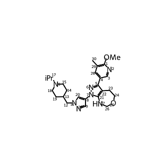 COc1ncc(-c2nn(-c3cnn(CC4CCN(C(C)C)CC4)c3)c3c2CCOCN3)cc1C